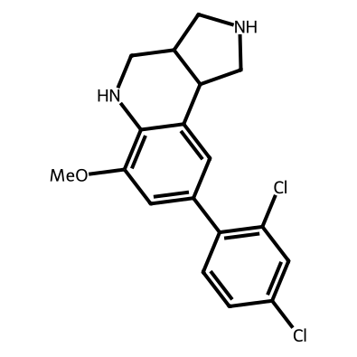 COc1cc(-c2ccc(Cl)cc2Cl)cc2c1NCC1CNCC21